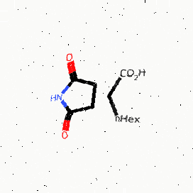 CCCCCCCC(=O)O.O=C1CCC(=O)N1